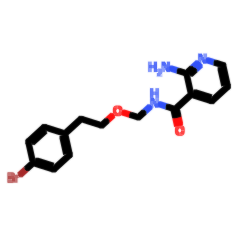 Nc1ncccc1C(=O)NCOCCc1ccc(Br)cc1